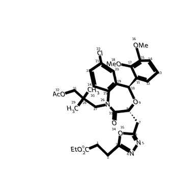 CCOC(=O)CCc1nnc(C[C@H]2O[C@H](c3cccc(OC)c3OC)c3cc(Cl)ccc3N(CC(C)(C)COC(C)=O)C2=O)o1